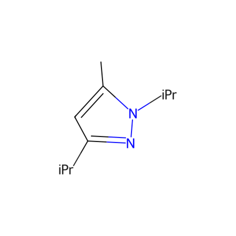 Cc1cc(C(C)C)nn1C(C)C